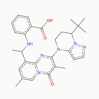 Cc1cc(C(C)Nc2ccccc2C(=O)O)c2nc(N3CCC(C(C)(C)C)n4nccc43)c(C)c(=O)n2c1